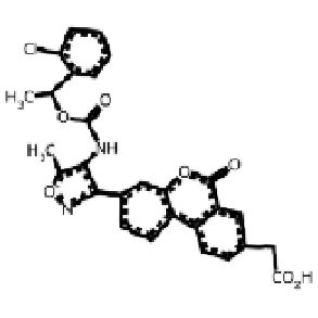 Cc1onc(-c2ccc3c(c2)oc(=O)c2cc(CC(=O)O)ccc23)c1NC(=O)OC(C)c1ccccc1Cl